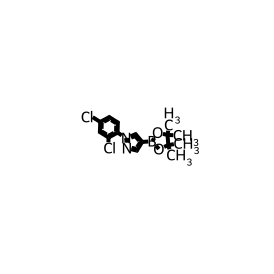 CC1(C)OB(c2cnn(-c3ccc(Cl)cc3Cl)c2)OC1(C)C